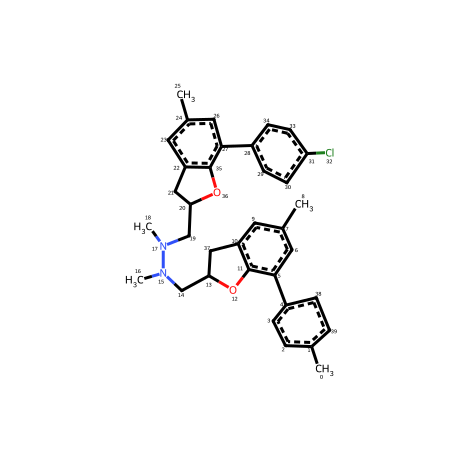 Cc1ccc(-c2cc(C)cc3c2OC(CN(C)N(C)CC2Cc4cc(C)cc(-c5ccc(Cl)cc5)c4O2)C3)cc1